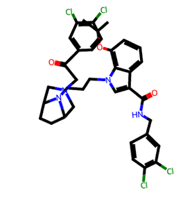 CC(C)Oc1cccc2c(C(=O)NCc3ccc(Cl)c(Cl)c3)cn(CCCN3C4CCC3CN(CC(=O)c3ccc(Cl)c(Cl)c3)C4)c12